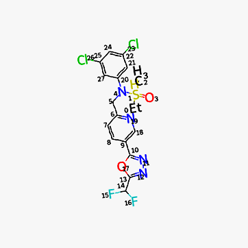 CC[SH](C)(=O)N(Cc1ccc(-c2nnc(C(F)F)o2)cn1)c1cc(Cl)cc(Cl)c1